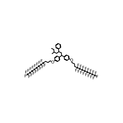 CCC(C)CC(CC(c1ccc(OCCCC(F)(F)C(F)(F)C(F)(F)C(F)(F)C(F)(F)C(F)(F)C(F)(F)C(F)(F)F)cc1)c1ccc(OCCCC(F)(F)C(F)(F)C(F)(F)C(F)(F)C(F)(F)C(F)(F)C(F)(F)C(F)(F)F)cc1)c1ccccc1